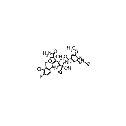 COc1cc(C(=O)NCC(O)(c2nc(-c3ccc(F)c(Cl)c3F)c3c(c2F)[C@@](C)(C(N)=O)CO3)C2CC2)cc2cn(C3CC3)nc12